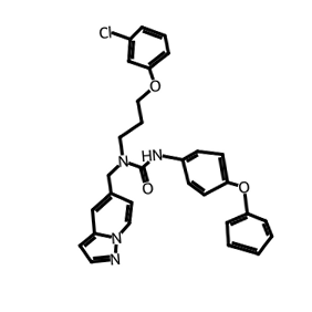 O=C(Nc1ccc(Oc2ccccc2)cc1)N(CCCOc1cccc(Cl)c1)Cc1ccn2nccc2c1